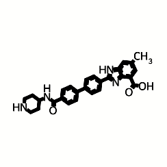 Cc1cc(C(=O)O)c2nc(-c3ccc(-c4ccc(C(=O)NC5CCNCC5)cc4)cc3)[nH]c2c1